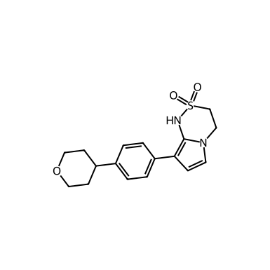 O=S1(=O)CCn2ccc(-c3ccc(C4CCOCC4)cc3)c2N1